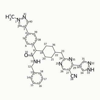 Cn1cc(-c2ccc(C(C(=O)NCc3ccccc3)C3CCC(Cc4ncc(C#N)c(-c5cn[nH]c5)n4)CC3)cc2)cn1